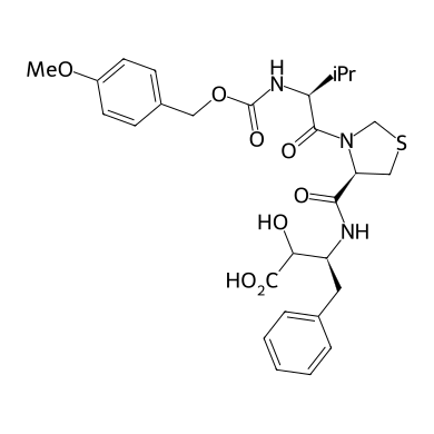 COc1ccc(COC(=O)N[C@H](C(=O)N2CSC[C@H]2C(=O)N[C@@H](Cc2ccccc2)C(O)C(=O)O)C(C)C)cc1